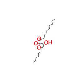 CCCCCCCCCC(=O)c1c(O)cc(CCCCCC)oc1=O